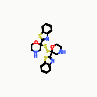 c1ccc2sc(C3(SSC4(c5nc6ccccc6s5)CNCCO4)CNCCO3)nc2c1